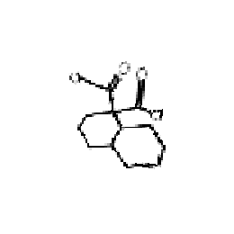 O=C(Cl)C1(C(=O)Cl)CCCC2CCCCC21